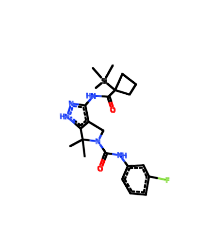 CC1(C)c2[nH]nc(NC(=O)C3([Si](C)(C)C)CCC3)c2CN1C(=O)Nc1cccc(F)c1